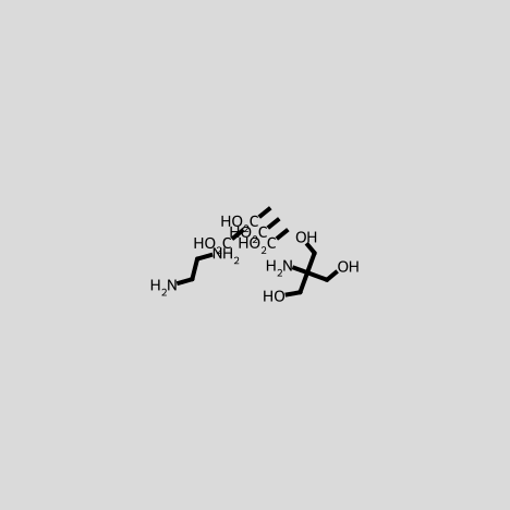 CC(=O)O.CC(=O)O.CC(=O)O.CC(=O)O.NC(CO)(CO)CO.NCCN